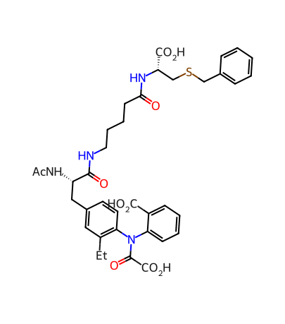 CCc1cc(C[C@H](NC(C)=O)C(=O)NCCCCC(=O)N[C@@H](CSCc2ccccc2)C(=O)O)ccc1N(C(=O)C(=O)O)c1ccccc1C(=O)O